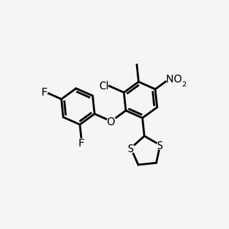 Cc1c([N+](=O)[O-])cc(C2SCCS2)c(Oc2ccc(F)cc2F)c1Cl